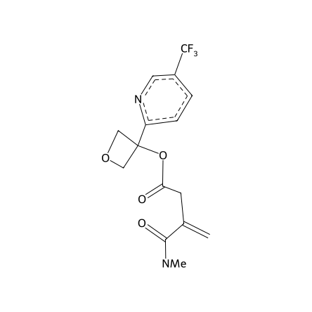 C=C(CC(=O)OC1(c2ccc(C(F)(F)F)cn2)COC1)C(=O)NC